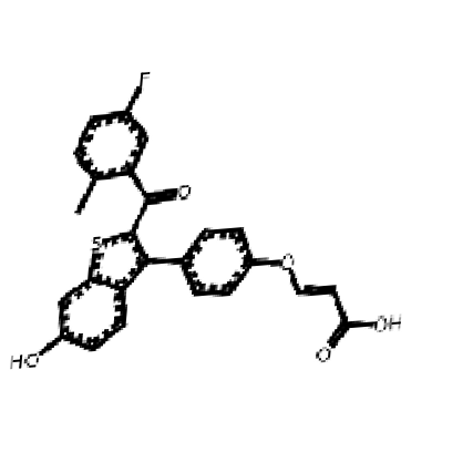 Cc1ccc(F)cc1C(=O)c1sc2cc(O)ccc2c1-c1ccc(O/C=C/C(=O)O)cc1